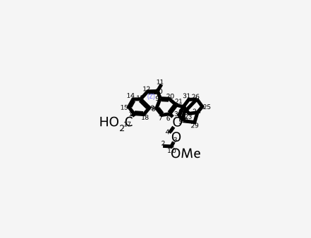 COC(C)OCOc1ccc(/C(C)=C\c2ccc(C(=O)O)cc2)cc1C12CC3CC(CC(C3)C1)C2